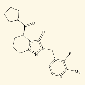 O=C([C@@H]1CCCc2nn(Cc3ccnc(C(F)(F)F)c3F)c(=O)n21)N1CCCC1